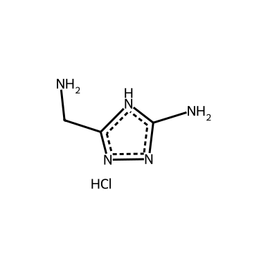 Cl.NCc1nnc(N)[nH]1